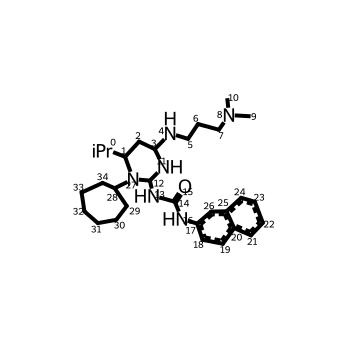 CC(C)C1CC(NCCCN(C)C)NC(NC(=O)Nc2ccc3ccccc3c2)N1C1CCCCCC1